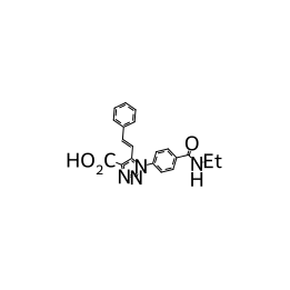 CCNC(=O)c1ccc(-n2nnc(C(=O)O)c2C=Cc2ccccc2)cc1